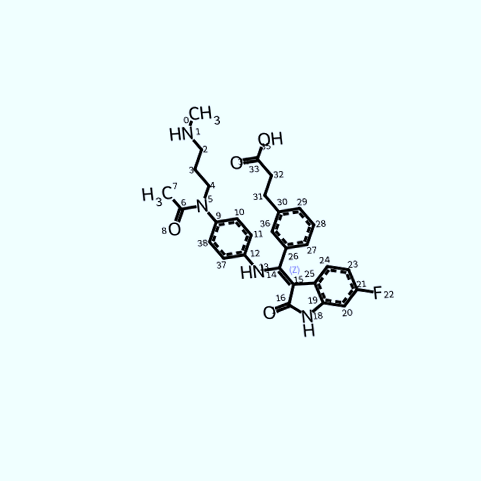 CNCCCN(C(C)=O)c1ccc(N/C(=C2\C(=O)Nc3cc(F)ccc32)c2cccc(CCC(=O)O)c2)cc1